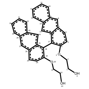 OCCOc1ccc2cc3ccccc3cc2c1-c1c(OCCO)ccc2cc3ccccc3cc12